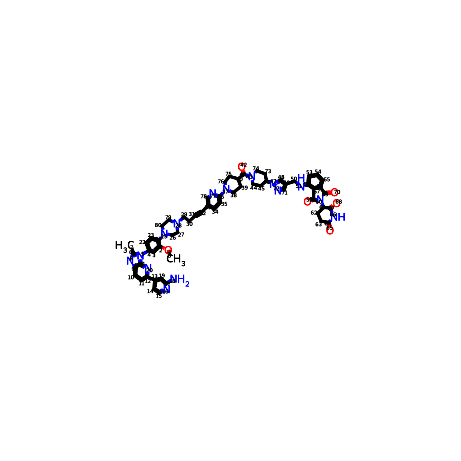 COc1cc(-n2c(C)nc3ccc(-c4ccnc(N)c4)nc32)ccc1N1CCN(CCC#Cc2ccc(N3CCC(C(=O)N4CCC(n5cc(CNc6cccc7c6C(=O)N(C6CCC(=O)NC6=O)C7=O)cn5)CC4)CC3)nc2)CC1